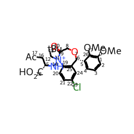 COc1cccc([C@H]2OCC(=O)[N+](CC(C)(C)C)(N[C@@H](CC(C)=O)C(=O)O)c3ccc(Cl)cc32)c1OC